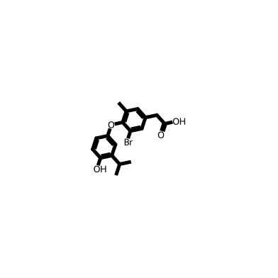 Cc1cc(CC(=O)O)cc(Br)c1Oc1ccc(O)c(C(C)C)c1